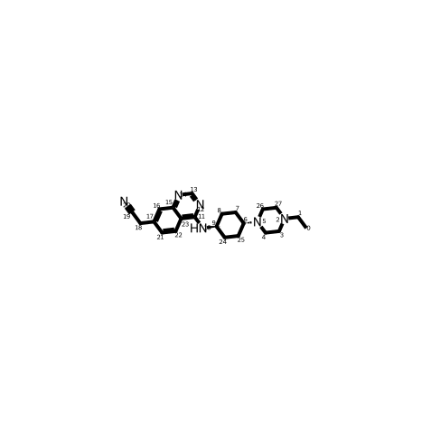 CCN1CCN([C@H]2CC[C@H](Nc3ncnc4cc(CC#N)ccc34)CC2)CC1